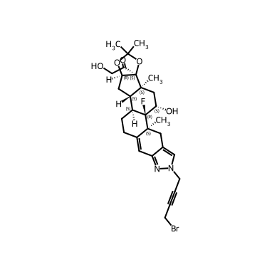 CC1(C)O[C@@H]2C[C@H]3[C@@H]4CCC5=Cc6nn(CC#CCBr)cc6C[C@]5(C)[C@@]4(F)[C@@H](O)C[C@]3(C)[C@]2(C(=O)CO)O1